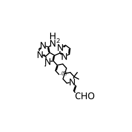 Cn1c(C2=CC[C@@]3(CC2)CCN(C=CC=O)C(C)(C)C3)c(-c2ncccn2)c2c(N)ncnc21